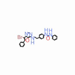 O=C(Nc1ccccc1)Nc1ccc(CCNc2ncnc3c(Br)c(-c4ccccc4)oc23)cc1